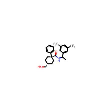 CC(NC(=O)[C@]1(c2ccccc2)CC[C@@H](CO)CC1)c1cc(C(F)(F)F)cc(C(F)(F)F)c1